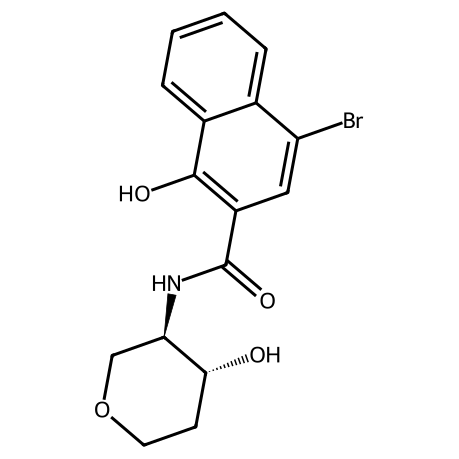 O=C(N[C@@H]1COCC[C@H]1O)c1cc(Br)c2ccccc2c1O